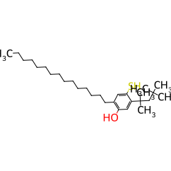 CCCCCCCCCCCCCCCc1cc(S)c(C(C)(C)CC(C)(C)C)cc1O